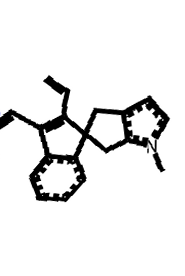 C=CC1=C(/C=C\C)c2ccccc2C12Cc1ccn(C)c1C2